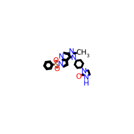 Cc1nc2cnc3c(ccn3S(=O)(=O)c3ccccc3)c2n1C1CCC(N2CCNC2=O)CC1